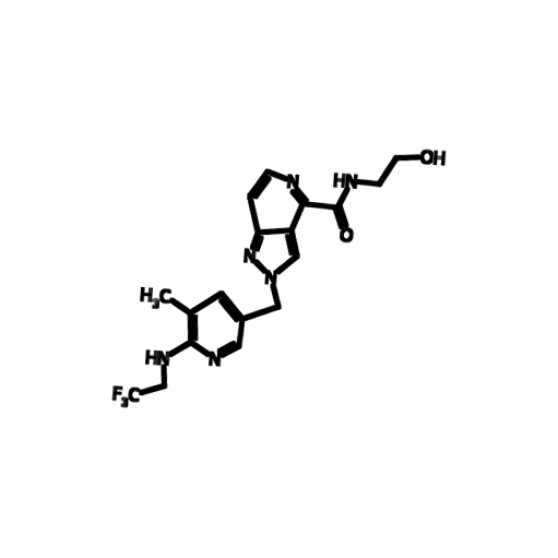 Cc1cc(Cn2cc3c(C(=O)NCCO)nccc3n2)cnc1NCC(F)(F)F